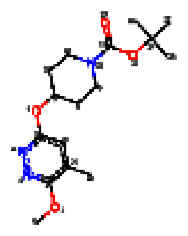 COc1nnc(OC2CCN(C(=O)OC(C)(C)C)CC2)cc1C